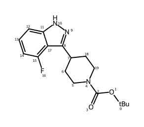 CC(C)(C)OC(=O)N1CCC(c2n[nH]c3cccc(F)c23)CC1